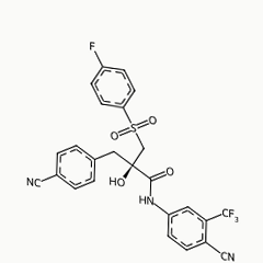 N#Cc1ccc(C[C@](O)(CS(=O)(=O)c2ccc(F)cc2)C(=O)Nc2ccc(C#N)c(C(F)(F)F)c2)cc1